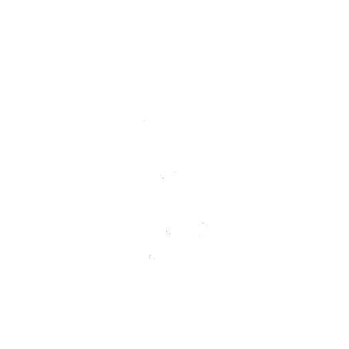 COc1cc(NC(=O)c2ccccc2C)ccc1C(=O)N1c2ccc(Cl)cc2CCCC1OCCN1CCNCC1.Cl.Cl